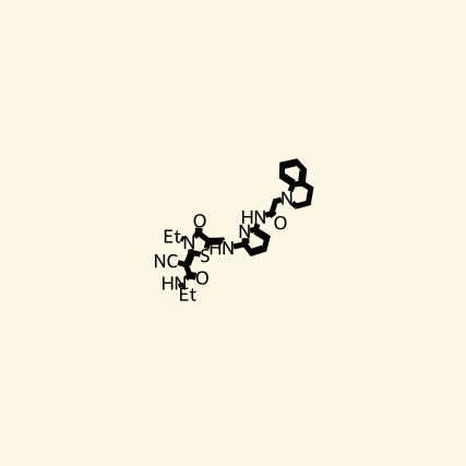 CCNC(=O)C(C#N)=c1sc(=CNc2cccc(NC(=O)CN3CCCc4ccccc43)n2)c(=O)n1CC